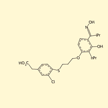 CCCc1c(OCCCSc2ccc(CC(=O)O)cc2Cl)ccc(C(=NO)C(C)C)c1O